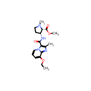 CCOc1cccn2c(C(=O)N[C@@H]3CCN(C)[C@@H]3C(=O)OC)c(C)nc12